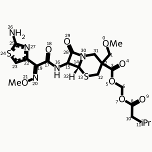 COCC1(C(=O)OCOC(=O)CC(C)C)CS[C@@H]2C(NC(=O)C(=NOC)c3csc(N)n3)C(=O)N2C1